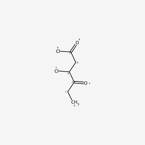 CCC(=O)C(Cl)CC(=O)Cl